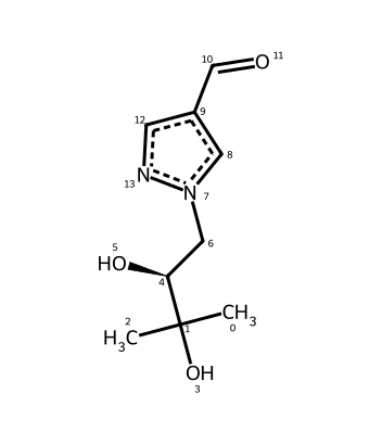 CC(C)(O)[C@@H](O)Cn1cc(C=O)cn1